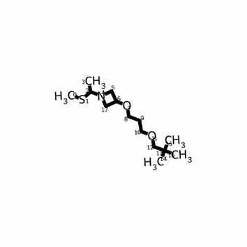 CSC(C)N1CC(OCCCOCC(C)(C)C)C1